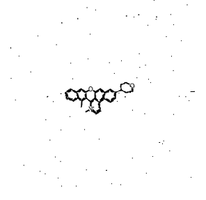 Cc1c2c(cc3ccccc13)Oc1cc3cc(C4CCOCC4)ccc3c3cc[n+](C)c-2c13